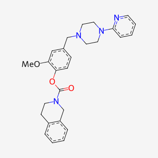 COc1cc(CN2CCN(c3ccccn3)CC2)ccc1OC(=O)N1CCc2ccccc2C1